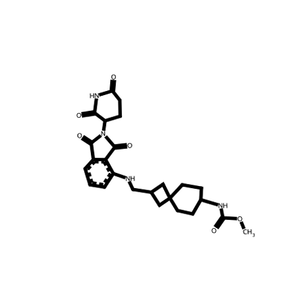 COC(=O)NC1CCC2(CC1)CC(CNc1cccc3c1C(=O)N(C1CCC(=O)NC1=O)C3=O)C2